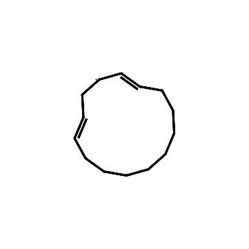 [CH]1/C=C/CCCCCCCC/C=C/C1